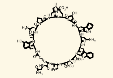 CCCC[C@H]1C(=O)N(C)[C@@H](CCCC)C(=O)N[C@@H](CC(C)C)C(=O)N[C@H](C(=O)NCC(N)=O)CSCC(=O)N[C@@H](Cc2ccc(O)cc2)C(=O)N(C)[C@@H](C)C(=O)N[C@@H](CC(N)=O)C(=O)N2CCC[C@H]2C(=O)N[C@@H](Cc2c[nH]cn2)C(=O)N[C@@H](CCC(=O)O)C(=O)N2C[C@H](O)C[C@H]2C(=O)N[C@@H](Cc2c[nH]c3ccccc23)C(=O)N[C@@H](CCN)C(=O)N[C@@H](Cc2csc3ccccc23)C(=O)N1C